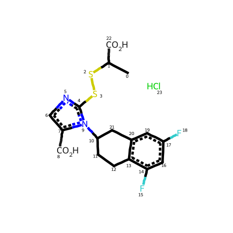 CC(SSc1ncc(C(=O)O)n1C1CCc2c(F)cc(F)cc2C1)C(=O)O.Cl